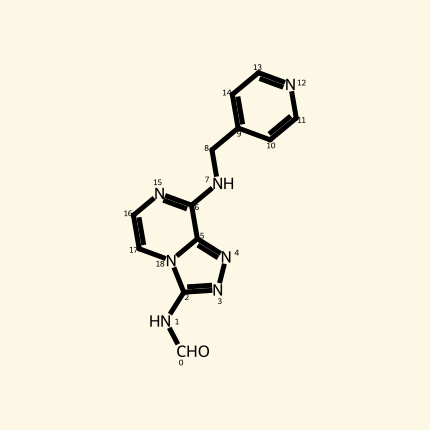 O=CNc1nnc2c(NCc3ccncc3)nccn12